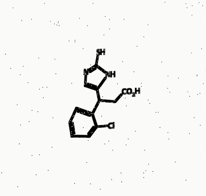 O=C(O)CC(c1cnc(S)[nH]1)c1ccccc1Cl